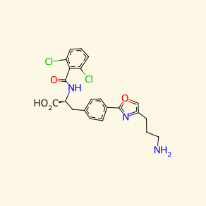 NCCCc1coc(-c2ccc(C[C@H](NC(=O)c3c(Cl)cccc3Cl)C(=O)O)cc2)n1